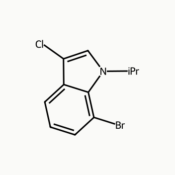 CC(C)n1cc(Cl)c2cccc(Br)c21